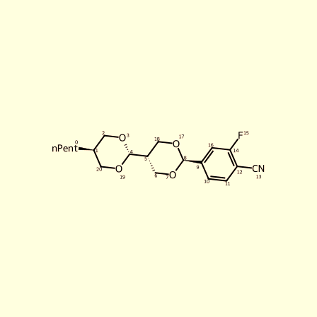 CCCCC[C@H]1CO[C@H]([C@H]2CO[C@H](c3ccc(C#N)c(F)c3)OC2)OC1